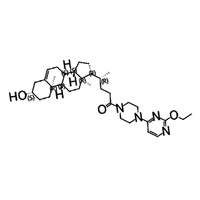 CCOc1nccc(N2CCN(C(=O)CC[C@@H](C)[C@H]3CC[C@H]4[C@@H]5CC=C6C[C@@H](O)CC[C@]6(C)[C@H]5CC[C@]34C)CC2)n1